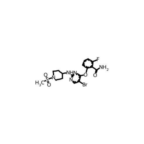 CS(=O)(=O)N1CCC(Nc2ncc(Br)c(Oc3cccc(F)c3C(N)=O)n2)CC1